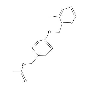 CC(=O)OCc1ccc(OCc2ccccc2C)cc1